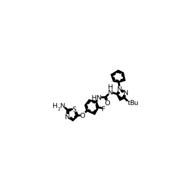 CC(C)(C)c1cc(NC(=O)Nc2ccc(Oc3cnc(N)s3)cc2F)n(-c2ccccc2)n1